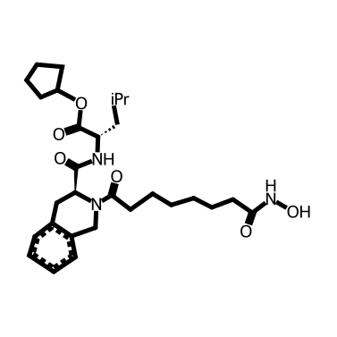 CC(C)C[C@H](NC(=O)[C@@H]1Cc2ccccc2CN1C(=O)CCCCCCC(=O)NO)C(=O)OC1CCCC1